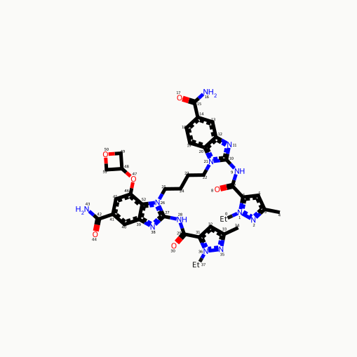 CCn1nc(C)cc1C(=O)Nc1nc2cc(C(N)=O)ccc2n1CCCCn1c(NC(=O)c2cc(C)nn2CC)nc2cc(C(N)=O)cc(OC3COC3)c21